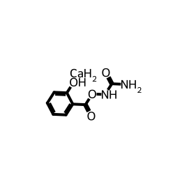 NC(=O)NOC(=O)c1ccccc1O.[CaH2]